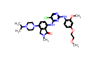 COCCOc1ccc(Nc2ncc(Cl)c(Nc3ccc(N4CCN(C(C)C)CC4)c4c3C(=O)N(C)C4)n2)c(OC)c1